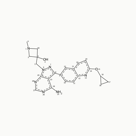 CN1CC(O)(Cn2nc(-c3ccc4nc(OC5CC5)ccc4c3)c3c(N)ncnc32)C1